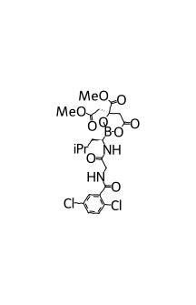 COC(=O)C[C@]1(C(=O)OC)CC(=O)OB([C@H](CC(C)C)NC(=O)CNC(=O)c2cc(Cl)ccc2Cl)O1